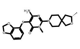 C[C@H]1CC2(CCN(c3nc(N)c(Sc4cccc5c4OCO5)c(=O)n3C)CC2)CO1